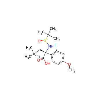 COc1ccc([C@@](CC(C)(C)C)(N[S@@+]([O-])C(C)(C)C)C(=O)O)c(F)c1